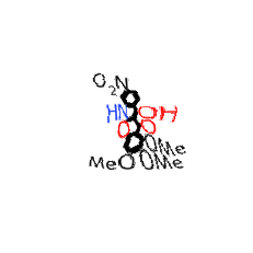 COc1ccc(C(=O)c2c(O)c3ccc([N+](=O)[O-])cc3[nH]c2=O)c(OC)c1OC